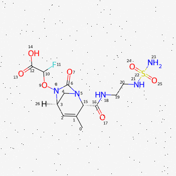 CC1=C[C@@H]2CN(C(=O)N2OC(F)C(=O)O)[C@@H]1C(=O)NCCNS(N)(=O)=O